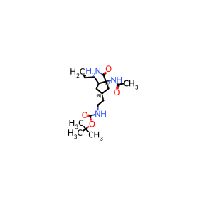 C=CCC1C[C@H](CCNC(=O)OC(C)(C)C)C[C@@]1(NC(C)=O)C(N)=O